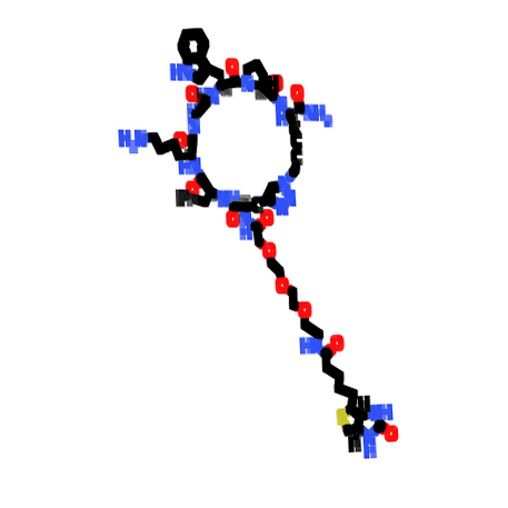 CC(C)C[C@@H]1NC(=O)[C@@H](NC(=O)COCCOCCOCCNC(=O)CCCCC2SC[C@@H]3NC(=O)N[C@H]23)Cc2cn(nn2)CCCC[C@@H](C(N)=O)NC(=O)[C@@H]2CCCN2C(=O)[C@H](Cc2c[nH]c3ccccc23)NC(=O)CNC(=O)[C@H](CCCCN)NC1=O